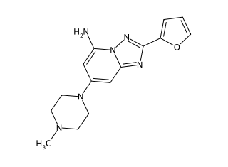 CN1CCN(c2cc(N)n3nc(-c4ccco4)nc3c2)CC1